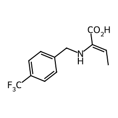 C/C=C(\NCc1ccc(C(F)(F)F)cc1)C(=O)O